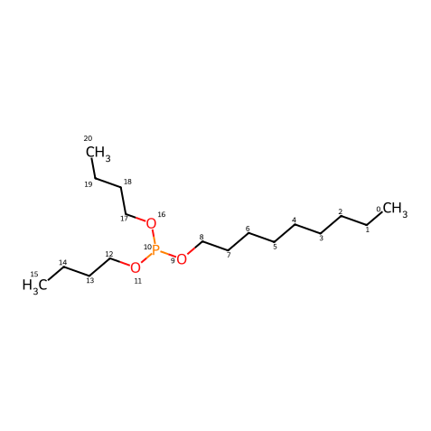 CCCCCCCCCOP(OCCCC)OCCCC